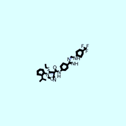 CCS/C(=C(/C#N)C(=O)Nc1ccc(C(=N)/N=C\Nc2ccc(C(F)(F)F)cc2)cc1)N(C=O)c1ccccc1C(C)C